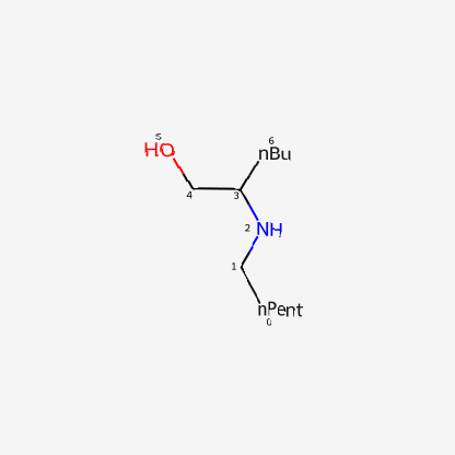 CCCCCCNC(CO)CCCC